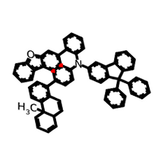 CC12C=CC=CC1C=Cc1c(-c3ccc(N(c4ccc5c(c4)-c4ccccc4C5(c4ccccc4)c4ccccc4)c4ccccc4-c4ccc5c(c4)oc4ccccc45)cc3)cccc12